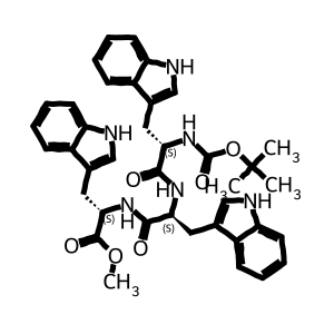 COC(=O)[C@H](Cc1c[nH]c2ccccc12)NC(=O)[C@H](Cc1c[nH]c2ccccc12)NC(=O)[C@H](Cc1c[nH]c2ccccc12)NC(=O)OC(C)(C)C